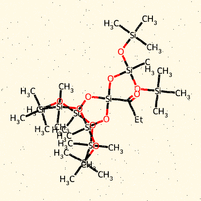 CCC(=O)[Si](O[Si](C)(O[Si](C)(C)C)O[Si](C)(C)C)(O[Si](C)(O[Si](C)(C)C)O[Si](C)(C)C)O[Si](C)(O[Si](C)(C)C)O[Si](C)(C)C